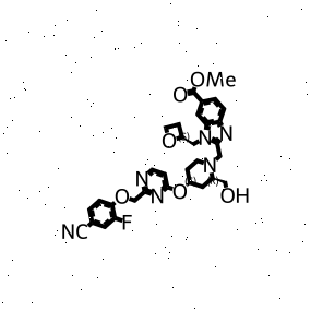 COC(=O)c1ccc2nc(CN3CC[C@H](Oc4ccnc(COc5ccc(C#N)cc5F)n4)C[C@@H]3CO)n(C[C@@H]3CCO3)c2c1